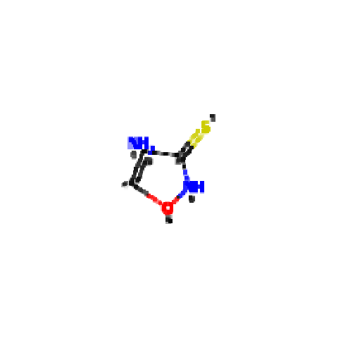 N.S=c1cco[nH]1